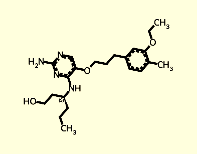 CCC[C@@H](CCO)Nc1nc(N)ncc1OCCCc1ccc(C)c(OCC)c1